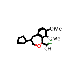 COc1ccc2c(c1OC)C(C(C)Cl)OCC(C1CCCC1)C2